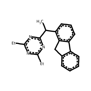 CCc1nc(CC)nc(C(C)c2cccc3c2Cc2ccccc2-3)n1